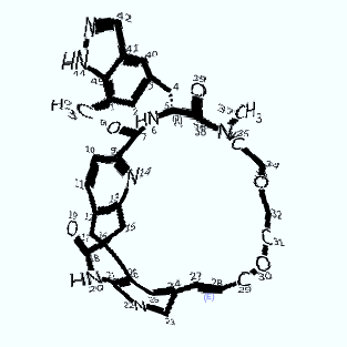 Cc1cc(C[C@H]2NC(=O)c3ccc4c(n3)CC3(C4)C(=O)Nc4ncc(cc43)/C=C/COCCOCCN(C)C2=O)cc2cn[nH]c12